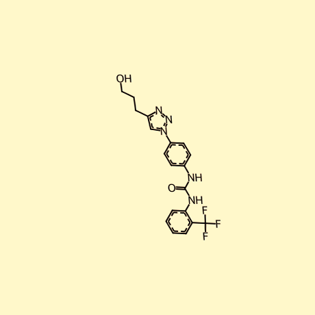 O=C(Nc1ccc(-n2cc(CCCO)nn2)cc1)Nc1ccccc1C(F)(F)F